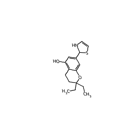 CCC1(CC)CCc2c(O)cc(C3NC=CS3)cc2O1